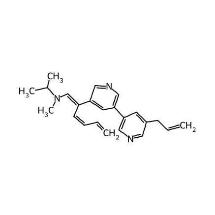 C=C/C=C\C(=C/N(C)C(C)C)c1cncc(-c2cncc(CC=C)c2)c1